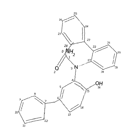 NC(=O)N(c1cc(-c2ccccc2)ccc1O)c1ccccc1-c1ccccc1